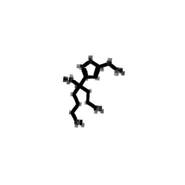 CCCCC(C)(CCC)c1cc(OC)sn1